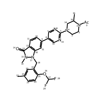 CC(=O)N1CCN(c2ncc(-c3ccc4c(=O)n(C)n(Cc5cc(C)ccc5OC(F)F)c4c3)cn2)CC1C